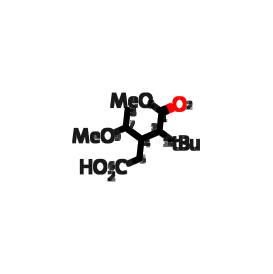 COC(=O)C(C(CC(=O)O)C(C)OC)C(C)(C)C